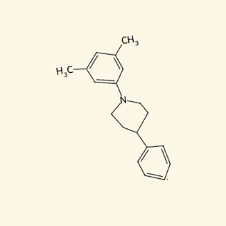 Cc1cc(C)cc(N2CCC(c3cc[c]cc3)CC2)c1